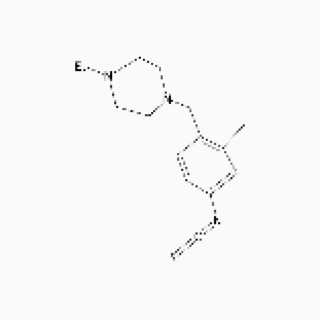 CCN1CCN(Cc2ccc(N=C=S)cc2C)CC1